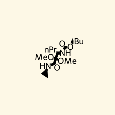 CCC[C@H](NC(=O)OC(C)(C)C)C(OC)(OC)C(=O)NC1CC1